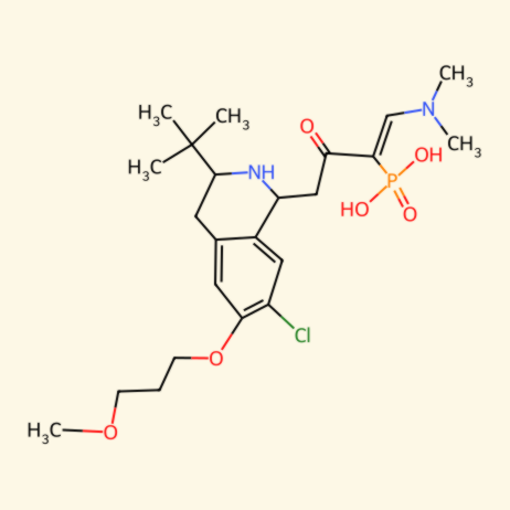 COCCCOc1cc2c(cc1Cl)C(CC(=O)C(=CN(C)C)P(=O)(O)O)NC(C(C)(C)C)C2